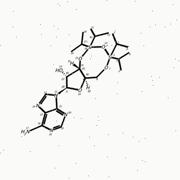 CC(C)[Si]1(C(C)C)OC[C@H]2O[C@@H](n3cnc4c(N)ncnc43)[C@H](O)[C@@H]2O[Si](C(C)C)(C(C)C)O1